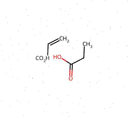 C=CC(=O)O.CCC(=O)O